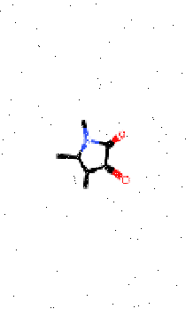 CC1C(=O)C(=O)N(C)C1C